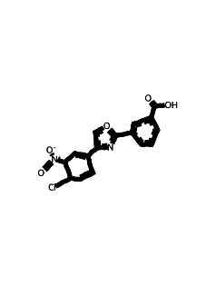 O=C(O)c1cccc(-c2nc(C3=CC([N+](=O)[O-])C(Cl)C=C3)co2)c1